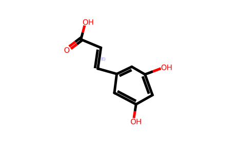 O=C(O)/C=C/c1cc(O)cc(O)c1